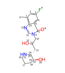 Cc1cc(F)cc2c(=O)n(CC(O)C[C@H]3NCCC[C@@H]3O)cnc12